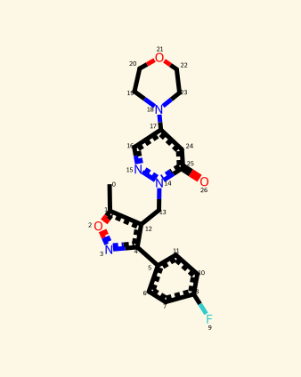 Cc1onc(-c2ccc(F)cc2)c1Cn1ncc(N2CCOCC2)cc1=O